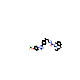 Cc1cccc(C)c1N1/C(=N/C(=O)NCCC(C)c2ccc(-c3ncn(-c4ccc(OC(F)(F)F)cc4)n3)cc2)SCCC1C